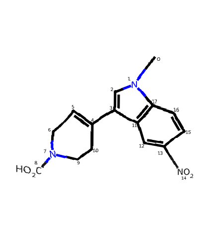 Cn1cc(C2=CCN(C(=O)O)CC2)c2cc([N+](=O)[O-])ccc21